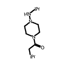 CC(C)CC(=O)N1CCN(NC(C)C)CC1